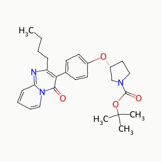 CCCCc1nc2ccccn2c(=O)c1-c1ccc(O[C@@H]2CCN(C(=O)OC(C)(C)C)C2)cc1